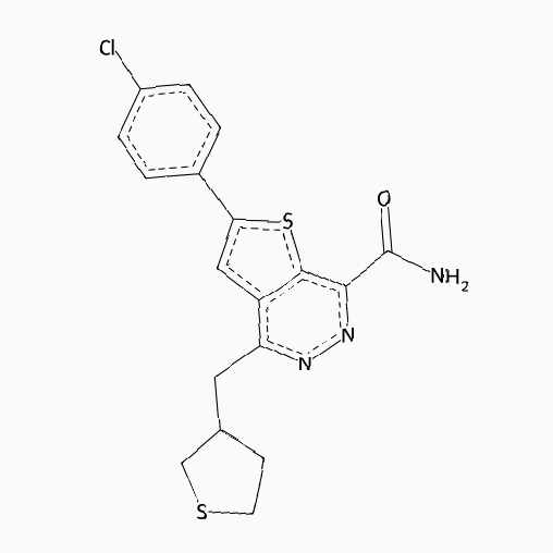 NC(=O)c1nnc(CC2CCSC2)c2cc(-c3ccc(Cl)cc3)sc12